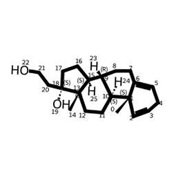 C[C@]12C=CCC=C1CC[C@@H]1[C@@H]2CC[C@@]2(C)[C@H]1CC[C@]2(O)CCO